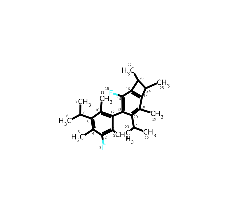 Cc1c(F)c(C)c(C(C)C)c(C)c1-c1c(F)c2c(c(C)c1C(C)C)C(C)C2C